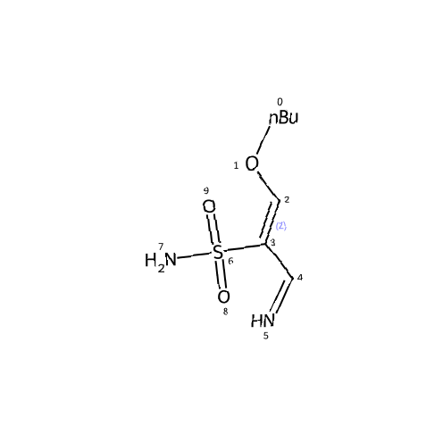 CCCCO/C=C(/C=N)S(N)(=O)=O